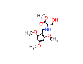 COC(=O)C(CO)NCc1c(OC)cc(OC)cc1OC